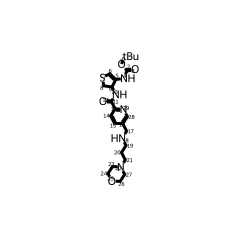 CC(C)(C)OC(=O)NC1=CSCC1NC(=O)c1ccc(CNCCCN2CCOCC2)cn1